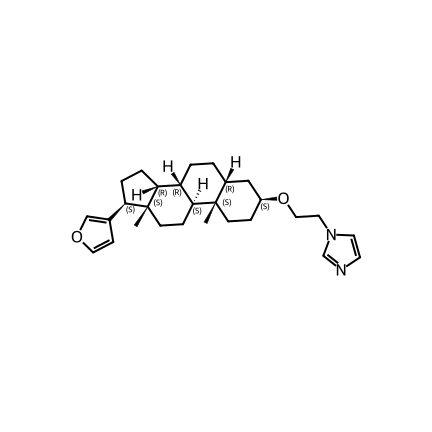 C[C@]12CC[C@H](OCCn3ccnc3)C[C@H]1CC[C@H]1[C@H]3CC[C@H](c4ccoc4)[C@@]3(C)CC[C@@H]12